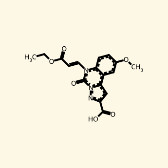 CCOC(=O)/C=C/n1c(=O)n2nc(C(=O)O)cc2c2cc(OC)ccc21